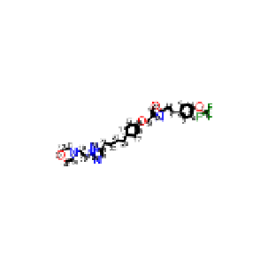 FC(F)(F)Oc1ccc(C=Cc2nc(COc3ccc(CCCCc4cnn(CCN5CCOCC5)n4)cc3)co2)cc1